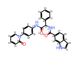 O=C(NC(C(=O)Nc1ccc(-n2ccccc2=O)cc1)c1ccccc1)c1ccc2cc[nH]c2c1